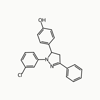 Oc1ccc(C2CC(c3ccccc3)=NN2c2cccc(Cl)c2)cc1